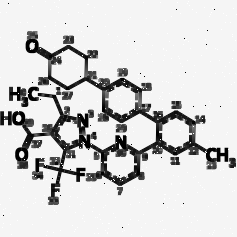 CCc1nn(-c2cccc(-c3cc(C)ccc3-c3ccc(C4CCC(=O)CC4)cc3)n2)c(C(F)(F)F)c1C(=O)O